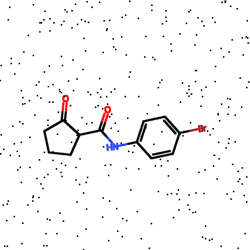 O=C1CCCC1C(=O)Nc1ccc(Br)cc1